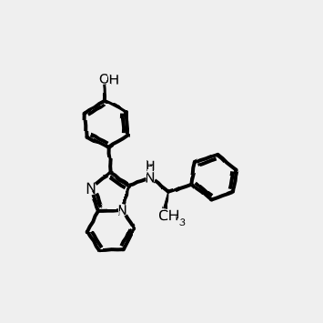 C[C@@H](Nc1c(-c2ccc(O)cc2)nc2ccccn12)c1ccccc1